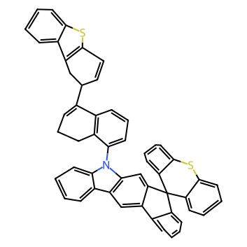 C1=CC(C2=CCCc3c2cccc3-n2c3ccccc3c3cc4c(cc32)C2(c3ccccc3Sc3ccccc32)c2ccccc2-4)Cc2c1sc1ccccc21